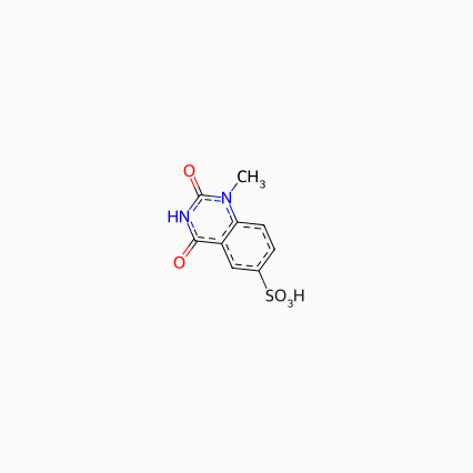 Cn1c(=O)[nH]c(=O)c2cc(S(=O)(=O)O)ccc21